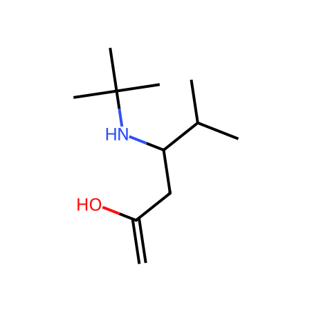 C=C(O)CC(NC(C)(C)C)C(C)C